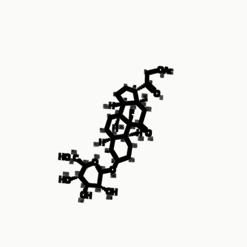 CC(=O)OCC(=O)[C@H]1CC[C@H]2[C@@H]3CC[C@@H]4C[C@H](OC5O[C@H](C(=O)O)[C@@H](O)[C@H](O)[C@H]5O)CC[C@@H]4[C@@]3(F)C(=O)C[C@]12C